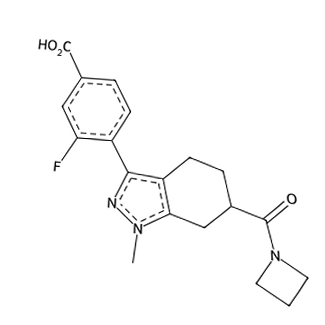 Cn1nc(-c2ccc(C(=O)O)cc2F)c2c1CC(C(=O)N1CCC1)CC2